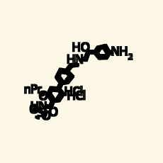 CCCOc1cc(-c2ccc(CCNC[C@H](O)c3ccc(N)cc3)cc2)ccc1C(=O)NS(C)(=O)=O.Cl.Cl